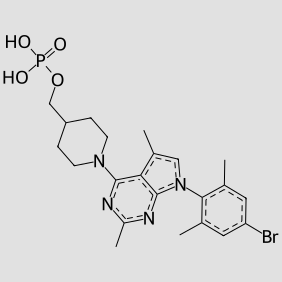 Cc1nc(N2CCC(COP(=O)(O)O)CC2)c2c(C)cn(-c3c(C)cc(Br)cc3C)c2n1